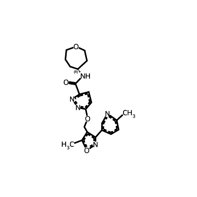 Cc1ccc(-c2noc(C)c2COc2ccc(C(=O)N[C@@H]3CCCOCC3)nn2)cn1